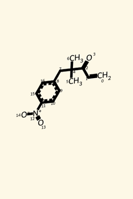 C=CC(=O)C(C)(C)Cc1ccc([N+](=O)[O-])cc1